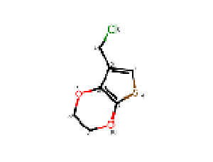 ClCc1csc2c1OCCO2